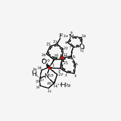 O=C(c1cccc(-c2cnco2)c1)N1[C@@H]2CC[C@H]1C[C@@H](c1ccc(F)cc1)C2